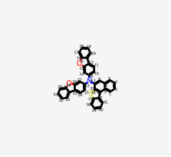 c1ccc2c(c1)cc(N(c1ccc3c(c1)oc1ccccc13)c1ccc3c(c1)oc1ccccc13)c1sc3ccccc3c12